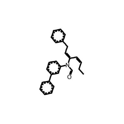 CC/C=C\C(=C/Cc1ccccc1)N(C=O)c1cccc(-c2ccccc2)c1